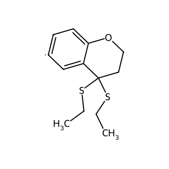 CCSC1(SCC)CCOc2cc[c]cc21